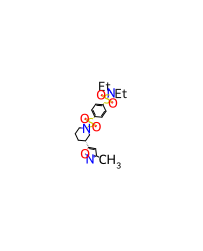 CCN(CC)S(=O)(=O)c1ccc(S(=O)(=O)N2CCC[C@@H](c3cc(C)no3)C2)cc1